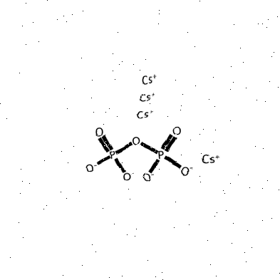 O=P([O-])([O-])OP(=O)([O-])[O-].[Cs+].[Cs+].[Cs+].[Cs+]